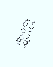 CCCC[C@H]1CC[C@H](C2CCC(CCc3ccc(C#N)cc3F)CC2)CC1.CCC[C@H]1CC[C@H](C2CCC(CCc3ccc(C#N)cc3F)CC2)CC1